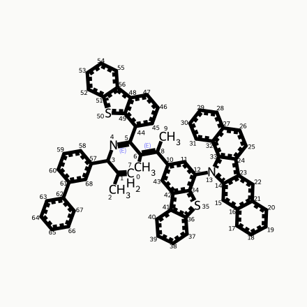 C=C(C)C(/N=C(\C(C)=C(/C)c1cc(-n2c3cc4ccccc4cc3c3ccc4ccccc4c32)c2sc3ccccc3c2c1)c1cccc2c1sc1ccccc12)c1cccc(-c2ccccc2)c1